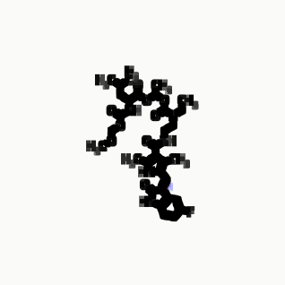 CCN(CCNC(=O)c1c(C)[nH]c(/C=C2\C(=O)Nc3ccc(F)cc32)c1C)C(=O)OC(C)OC(=O)C(CC(C)C)NC(=O)OCOC